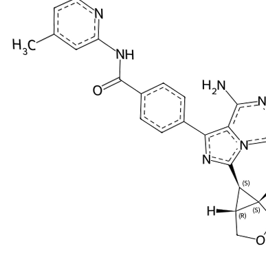 Cc1ccnc(NC(=O)c2ccc(-c3nc([C@H]4[C@@H]5COC[C@@H]54)n4ccnc(N)c34)cc2)c1